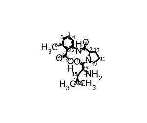 Cc1cccc(NC(=O)C2CCCN2C(=O)C(N)CC(C)C)c1C(=O)O